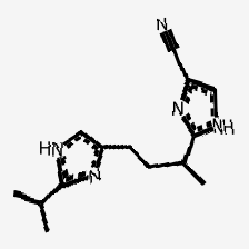 CC(C)c1nc(CCC(C)c2nc(C#N)c[nH]2)c[nH]1